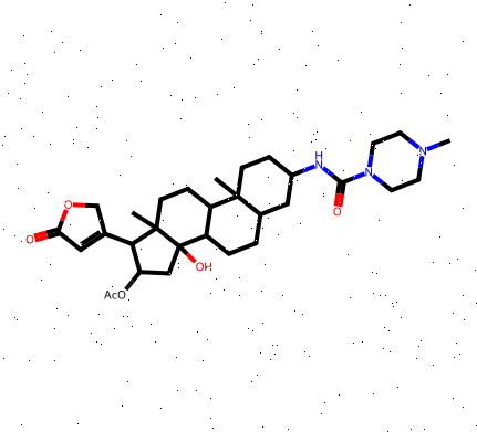 CC(=O)OC1CC2(O)C3CCC4CC(NC(=O)N5CCN(C)CC5)CCC4(C)C3CCC2(C)C1C1=CC(=O)OC1